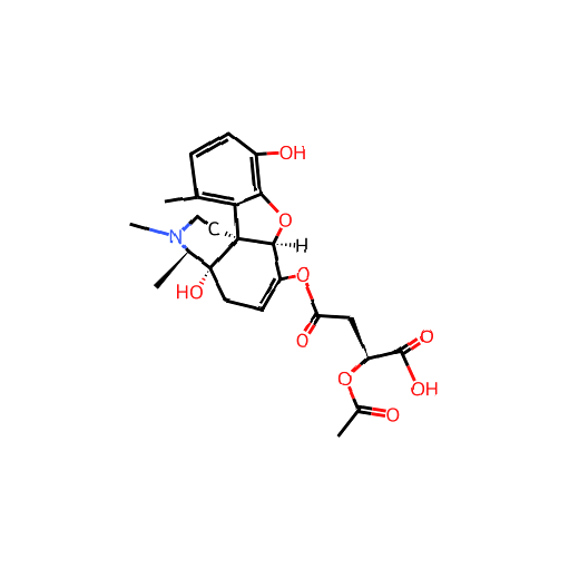 CC(=O)O[C@@H](CC(=O)OC1=CC[C@@]2(O)[C@@H](C)N(C)CC[C@@]23c2c(C)ccc(O)c2O[C@@H]13)C(=O)O